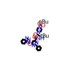 CCCCOC(=O)N1CCN(C(=O)C(NC(=O)c2cc(On3nnc4ccccc43)nc(-c3ccccc3)n2)C(C)(C)C)CC1